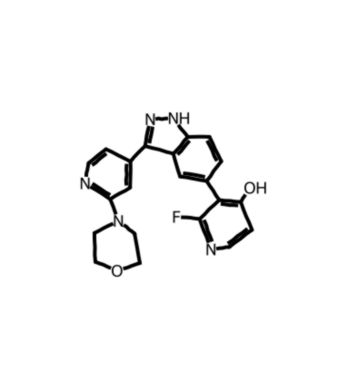 Oc1ccnc(F)c1-c1ccc2[nH]nc(-c3ccnc(N4CCOCC4)c3)c2c1